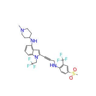 CN1CCC(Nc2cccc3c2cc(C#CCNc2ccc(S(C)(=O)=O)cc2C(F)(F)F)n3CC(F)(F)F)CC1